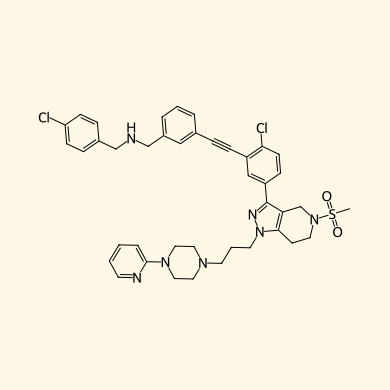 CS(=O)(=O)N1CCc2c(c(-c3ccc(Cl)c(C#Cc4cccc(CNCc5ccc(Cl)cc5)c4)c3)nn2CCCN2CCN(c3ccccn3)CC2)C1